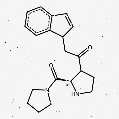 O=C(CC1C=Cc2ccccc21)C1CCN[C@H]1C(=O)N1CCCC1